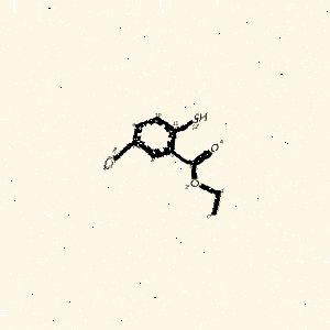 CCOC(=O)c1cc(Cl)ccc1S